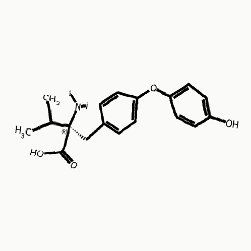 CC(C)[C@](Cc1ccc(Oc2ccc(O)cc2)cc1)(C(=O)O)N(I)I